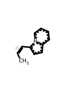 C/C=C\c1ccc2ccccn12